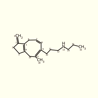 C=C1CCC2=C1C/C=C\C(CCCNCCC)=C(\C)C2